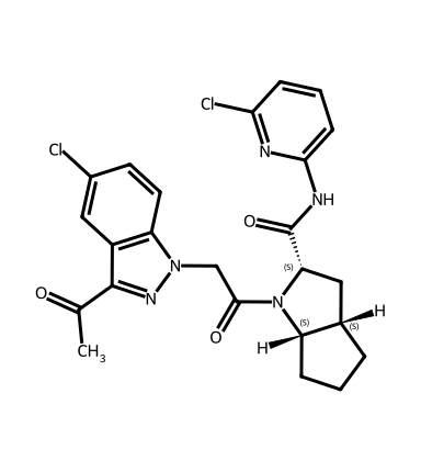 CC(=O)c1nn(CC(=O)N2[C@H](C(=O)Nc3cccc(Cl)n3)C[C@@H]3CCC[C@@H]32)c2ccc(Cl)cc12